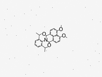 COc1ccc2c3c(ccc(OC)c13)C(=O)N(c1c(C(C)C)cccc1C(C)C)C2=O